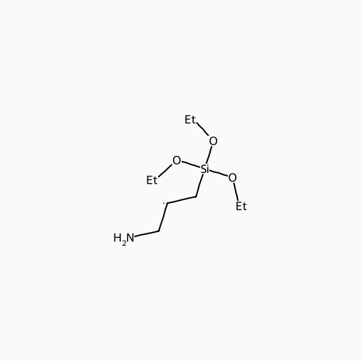 CCO[Si](C[CH]CN)(OCC)OCC